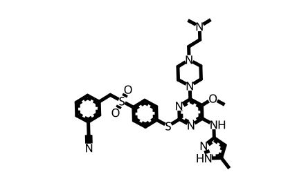 COc1c(Nc2cc(C)[nH]n2)nc(Sc2ccc(S(=O)(=O)Cc3cccc(C#N)c3)cc2)nc1N1CCN(CCN(C)C)CC1